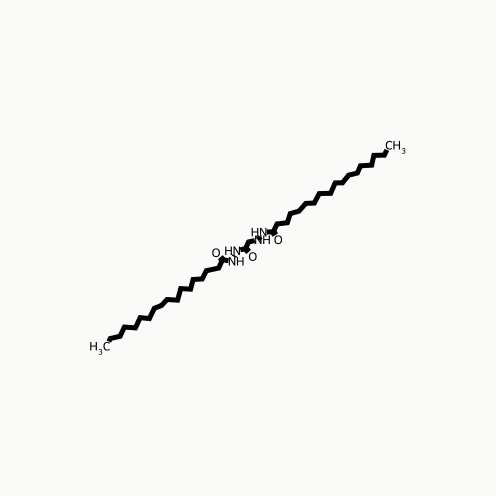 CCCCCCCCCCCCCCCCCC(=O)NNCC(=O)NNC(=O)CCCCCCCCCCCCCCCCC